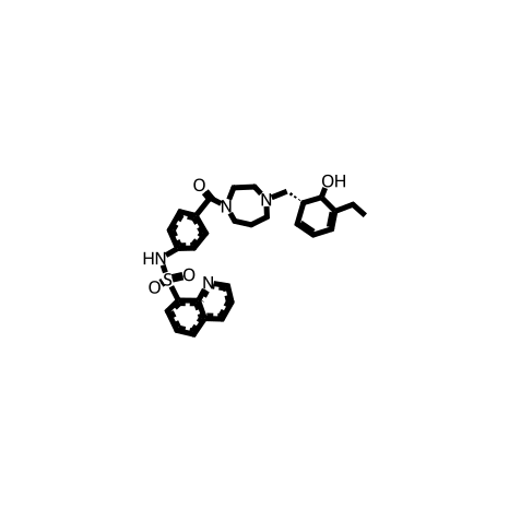 CCC1=CC=C[C@H](CN2CCCN(C(=O)c3ccc(NS(=O)(=O)c4cccc5cccnc45)cc3)CC2)C1O